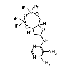 Cc1ncnc(N[C@H]2C[C@H]3O[Si](C(C)C)(C(C)C)O[Si](C(C)C)(C(C)C)OC[C@@H]3O2)c1N